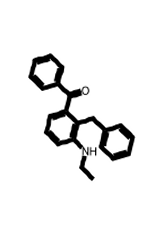 CCNc1cccc(C(=O)c2ccccc2)c1Cc1ccccc1